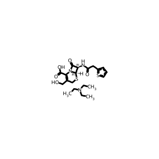 CCN(CC)CC.O=C(Cc1cccs1)N[C@@H]1C(=O)N2C(C(=O)O)=C(CO)CS[C@H]12